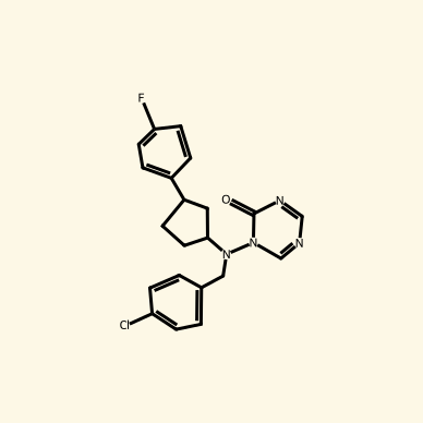 O=c1ncncn1N(Cc1ccc(Cl)cc1)C1CCC(c2ccc(F)cc2)C1